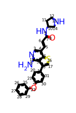 Nc1ncc(C=CC(=O)NC2CCNC2)c2scc(-c3ccc(Oc4ccccc4)cc3)c12